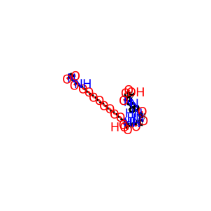 CC[C@@]1(O)C(=O)OCc2c1cc1n(c2=O)Cc2c-1nc1ccc(NC(=O)[C@H](C)NC(=O)[C@@H](NC(=O)CC[C@H](NC(=O)CCOCCOCCOCCOCCOCCOCCOCCOCCNC(=O)CCN3C(=O)C=CC3=O)C(=O)O)C(C)C)c3c1c2CCC3